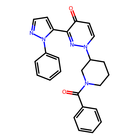 O=C(c1ccccc1)N1CCCC(n2ccc(=O)c(-c3ccnn3-c3ccccc3)n2)C1